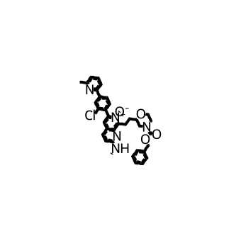 CNc1ccc2cc(-c3ccc(-c4cccc(C)n4)cc3Cl)[n+]([O-])c(CCC3CN(C(=O)OCc4ccccc4)CCO3)c2n1